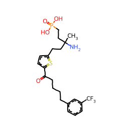 CC(N)(CCc1ccc(C(=O)CCCCc2cccc(C(F)(F)F)c2)s1)CCP(=O)(O)O